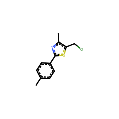 Cc1ccc(-c2nc(C)c(CCl)s2)cc1